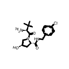 CC(C)(C)[C@H](N)C(=O)N1C[C@H](O)C[C@H]1C(=O)NCc1ccc(Cl)cc1